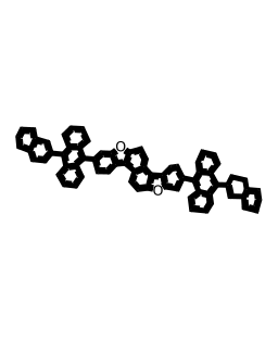 C1=C(c2c3ccccc3c(-c3ccc4c(c3)oc3ccc5c(ccc6oc7cc(-c8c9ccccc9c(-c9ccc%10ccccc%10c9)c9ccccc89)ccc7c65)c34)c3ccccc23)CCc2ccccc21